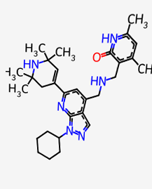 Cc1cc(C)c(CNCc2cc(C3=CC(C)(C)NC(C)(C)C3)nc3c2cnn3C2CCCCC2)c(=O)[nH]1